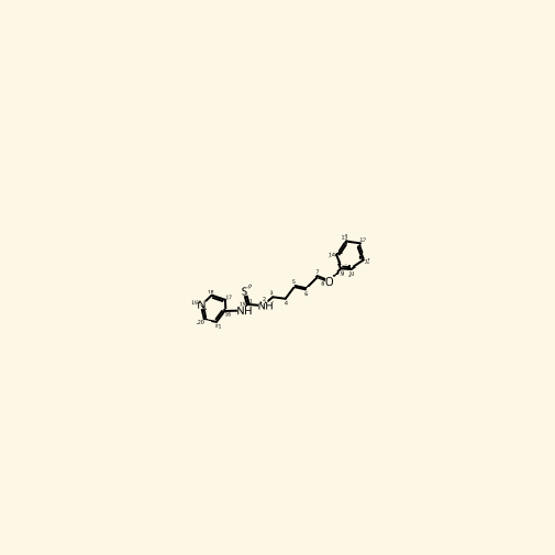 S=C(NCCCCCOc1ccccc1)Nc1ccncc1